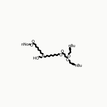 CCCCC#CCCOC(CCC(=O)OCCCCCCCCN(CCO)CCCCCCCC(=O)OCCCCCCCCC)OCCC#CCCCC